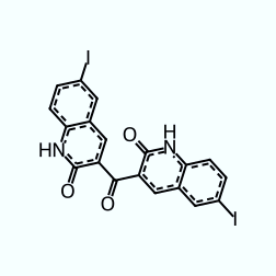 O=C(c1cc2cc(I)ccc2[nH]c1=O)c1cc2cc(I)ccc2[nH]c1=O